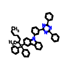 C=C(/C=C\C=C/C)[Si](c1ccccc1)(c1ccccc1)c1ccc2c(c1)c1ccccc1n2-c1cccc(-c2nc(-c3ccccc3)nc(-c3ccccc3)n2)c1